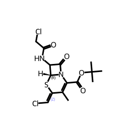 CC1=C(C(=O)OC(C)(C)C)N2C(=O)C(NC(=O)CCl)[C@H]2S/C1=C\Cl